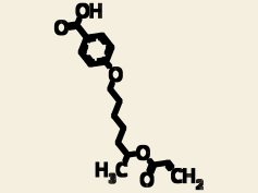 C=CC(=O)OC(C)CCCCCOc1ccc(C(=O)O)cc1